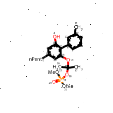 CCCCCc1cc(O)c(-c2cccc(C)c2)c(OC(C)(C)OP(=O)(OC)OC)c1